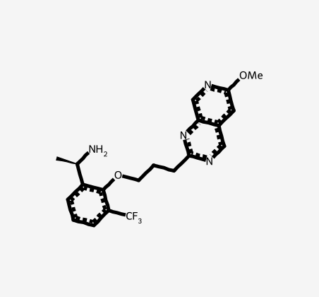 COc1cc2cnc(CCCOc3c([C@@H](C)N)cccc3C(F)(F)F)nc2cn1